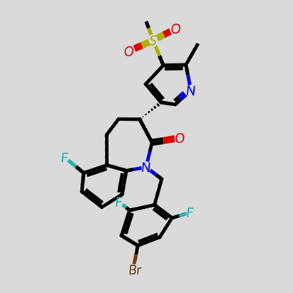 Cc1ncc([C@H]2CCc3c(F)cccc3N(Cc3c(F)cc(Br)cc3F)C2=O)cc1S(C)(=O)=O